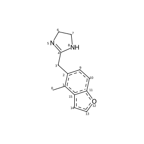 Cc1c(CC2=NCCN2)ccc2occc12